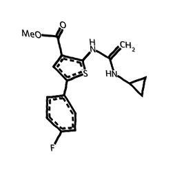 C=C(Nc1sc(-c2ccc(F)cc2)cc1C(=O)OC)NC1CC1